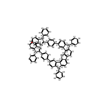 c1ccc(-n2c(-c3ccc(-c4ccc5c(c4)c4c6sc7c(ccc8c7c7cc(-c9ccc(-c%10nc%11ccccc%11n%10-c%10ccccc%10)cc9)ccc7n8-c7ccccc7)c6ccc4n5-c4ccccc4)cc3)nc3ccccc32)cc1